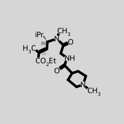 CCOC(=O)/C(C)=C/[C@H](C(C)C)N(C)C(=O)CNC(=O)C1CCN(C)CC1